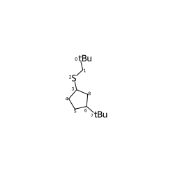 CC(C)(C)CSC1CCC(C(C)(C)C)C1